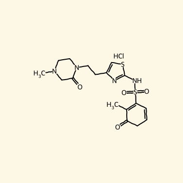 CC1=C(S(=O)(=O)Nc2nc(CCN3CCN(C)CC3=O)cs2)C=CCC1=O.Cl